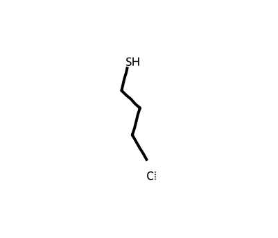 CCCCS.[C]